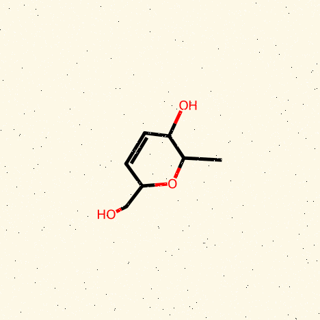 CC1OC(CO)C=CC1O